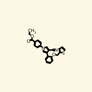 CCOC(=O)c1ccc(-n2cc(C#N)c(-c3ccccc3OCc3cccs3)c2)cc1